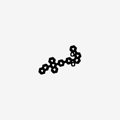 C1=C(c2ccc3c(c2)oc2ccc4ccc5c6ccccc6oc5c4c23)CCC(c2c3ccccc3c(-c3ccc4ccccc4c3)c3ccccc23)=C1